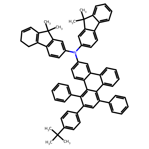 CC(C)(C)c1ccc(-c2cc(-c3ccccc3)c3c4ccccc4c4cc(N(c5ccc6c(c5)C(C)(C)C5=C6CCC=C5)c5ccc6c(c5)C(C)(C)c5ccccc5-6)ccc4c3c2-c2ccccc2)cc1